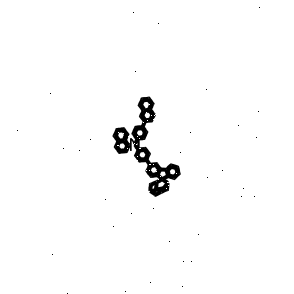 c1ccc2c(c1)-c1cc(-c3ccc(N(c4ccc(-c5ccc6ccccc6c5)cc4)c4cccc5ccccc45)cc3)ccc1C21C2CC3CC(C2)CC1C3